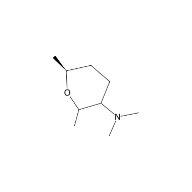 CC1O[C@@H](C)CCC1N(C)C